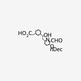 CCCCCCCCCCOc1ccc(CC(O)c2cccc(CC(=O)O)c2)nc1C=O